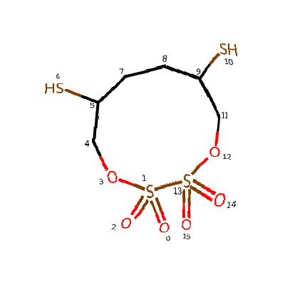 O=S1(=O)OCC(S)CCC(S)COS1(=O)=O